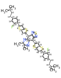 Cc1nc2c(-c3cc4sc(-c5ccc(CCC(C)C)cc5F)cc4s3)c3nsnc3c(-c3cc4sc(-c5ccc(CCC(C)C)cc5F)cc4s3)c2nc1C